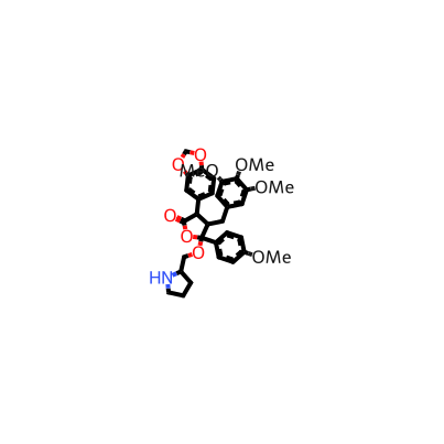 COc1ccc(C2(OCC3CCCN3)OC(=O)C(c3ccc4c(c3)OCO4)C2Cc2cc(OC)c(OC)c(OC)c2)cc1